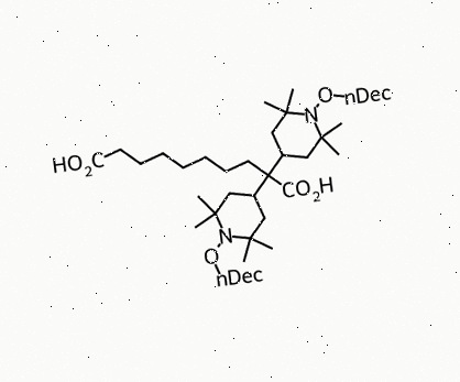 CCCCCCCCCCON1C(C)(C)CC(C(CCCCCCCC(=O)O)(C(=O)O)C2CC(C)(C)N(OCCCCCCCCCC)C(C)(C)C2)CC1(C)C